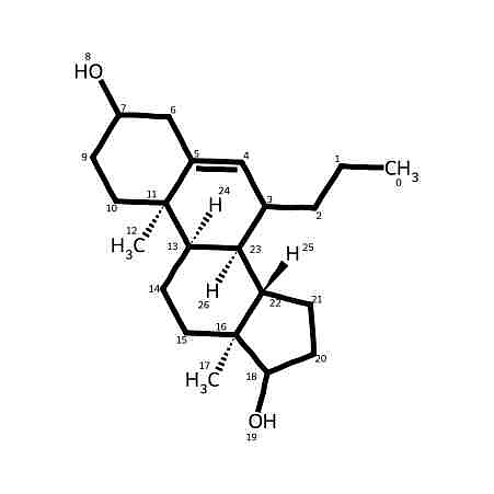 CCCC1C=C2CC(O)CC[C@]2(C)[C@@H]2CC[C@]3(C)C(O)CC[C@H]3[C@H]12